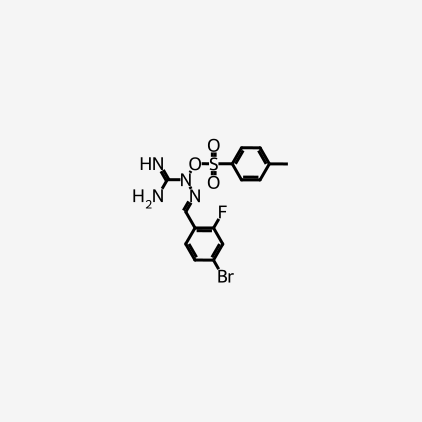 Cc1ccc(S(=O)(=O)ON(N=Cc2ccc(Br)cc2F)C(=N)N)cc1